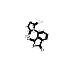 O=C1[N]C(=O)c2c1cccc2N1C(=O)CCC1=O